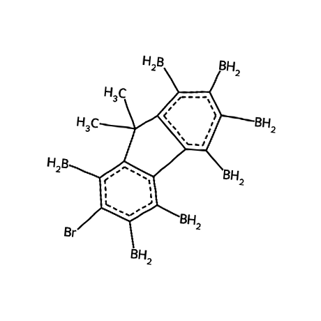 Bc1c(B)c(B)c2c(c1B)-c1c(B)c(B)c(Br)c(B)c1C2(C)C